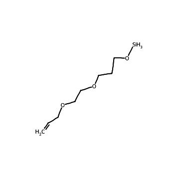 C=CCOCCOCCCO[SiH3]